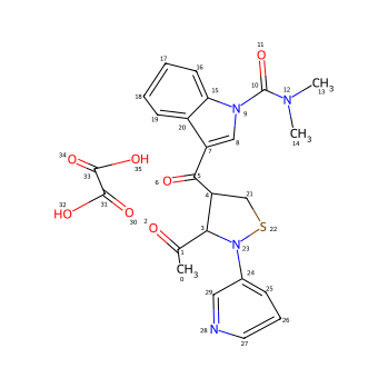 CC(=O)C1C(C(=O)c2cn(C(=O)N(C)C)c3ccccc23)CSN1c1cccnc1.O=C(O)C(=O)O